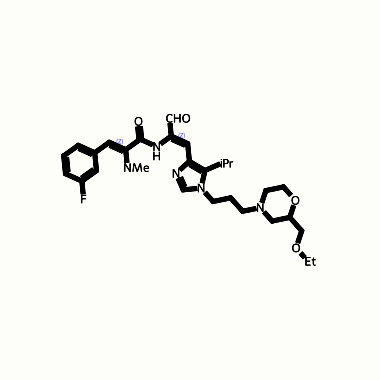 CCOCC1CN(CCCn2cnc(/C=C(/C=O)NC(=O)/C(=C/c3cccc(F)c3)NC)c2C(C)C)CCO1